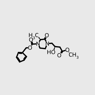 COC(=O)C[C@@H](O)CN1CCN(C(=O)OCc2ccccc2)[C@@H](C)C1=O